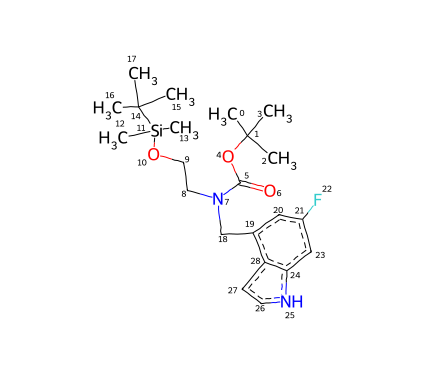 CC(C)(C)OC(=O)N(CCO[Si](C)(C)C(C)(C)C)Cc1cc(F)cc2[nH]ccc12